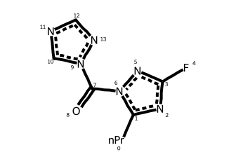 CCCc1nc(F)nn1C(=O)n1cncn1